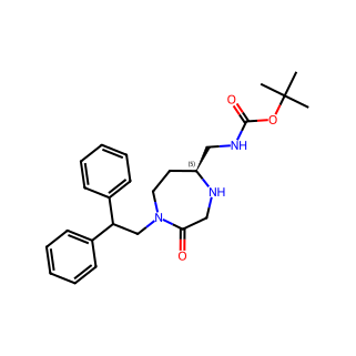 CC(C)(C)OC(=O)NC[C@@H]1CCN(CC(c2ccccc2)c2ccccc2)C(=O)CN1